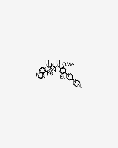 CCc1cc(Nc2nsc(Nc3ccc4nccnc4c3P(C)(C)=O)n2)c(OC)cc1N1CCC(N2CCN(C)CC2)CC1